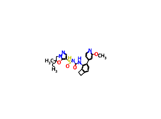 COc1cc(-c2ccc3c(c2NC(=O)N=[SH](=O)c2cnn4c2OC(C)(C)C4)CC3)ccn1